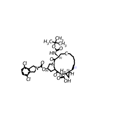 CC(C)(C)OC(=O)N[C@H]1CCCCC/C=C\[C@@H]2C[C@@]2(C(=O)O)NC(=O)C2C[C@@H](OC(=O)N3Cc4c(Cl)ccc(Cl)c4C3)CN2C1=O